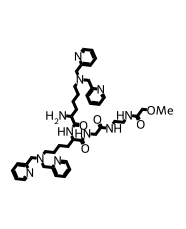 COCC(=O)NCCNC(=O)CNC(=O)C(CCCCN(Cc1ccccn1)Cc1ccccn1)NC(=O)C(N)CCCCN(Cc1ccccn1)Cc1ccccn1